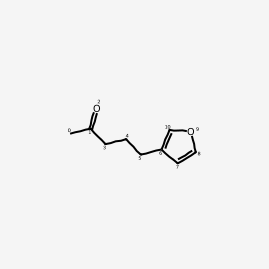 CC(=O)CCCc1ccoc1